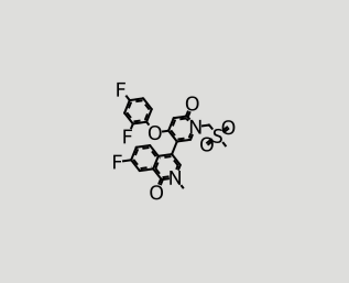 Cn1cc(-c2cn(CS(C)(=O)=O)c(=O)cc2Oc2ccc(F)cc2F)c2ccc(F)cc2c1=O